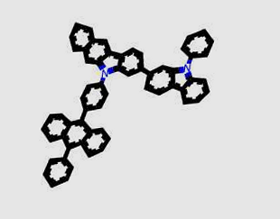 c1ccc(-c2c3ccccc3c(-c3ccc(-n4c5cc(-c6ccc7c8ccccc8n(-c8ccccc8)c7c6)ccc5c5cc6ccccc6cc54)cc3)c3ccccc23)cc1